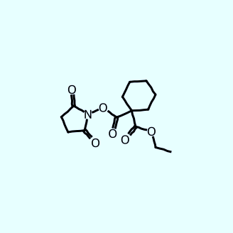 CCOC(=O)C1(C(=O)ON2C(=O)CCC2=O)CCCCC1